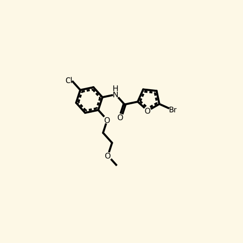 COCCOc1ccc(Cl)cc1NC(=O)c1ccc(Br)o1